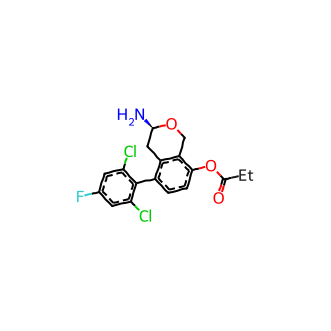 CCC(=O)Oc1ccc(-c2c(Cl)cc(F)cc2Cl)c2c1CO[C@H](N)C2